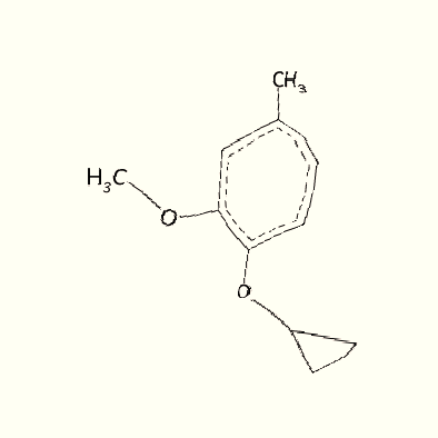 COc1cc(C)ccc1OC1CC1